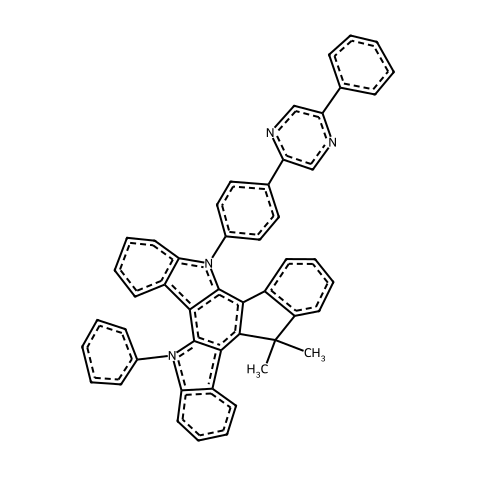 CC1(C)c2ccccc2-c2c1c1c3ccccc3n(-c3ccccc3)c1c1c3ccccc3n(-c3ccc(-c4cnc(-c5ccccc5)cn4)cc3)c21